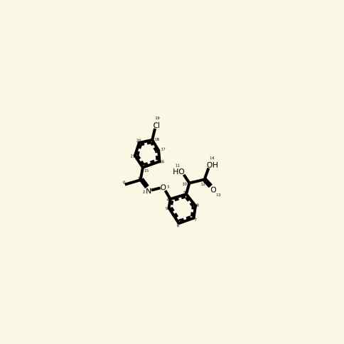 CC(=NOc1ccccc1C(O)C(=O)O)c1ccc(Cl)cc1